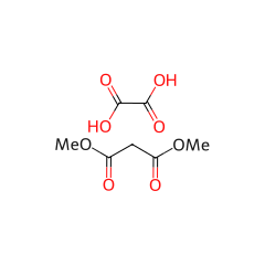 COC(=O)CC(=O)OC.O=C(O)C(=O)O